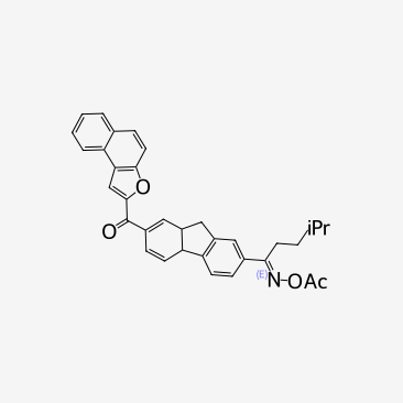 CC(=O)O/N=C(\CCC(C)C)c1ccc2c(c1)CC1C=C(C(=O)c3cc4c(ccc5ccccc54)o3)C=CC21